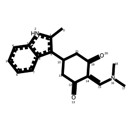 Cc1[nH]c2ccccc2c1C1CC(=O)C(=CN(C)C)C(=O)C1